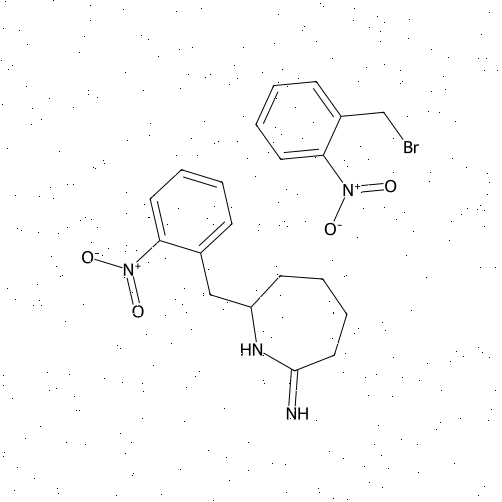 N=C1CCCCC(Cc2ccccc2[N+](=O)[O-])N1.O=[N+]([O-])c1ccccc1CBr